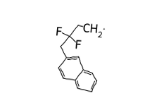 [CH2]CC(F)(F)Cc1ccc2ccccc2c1